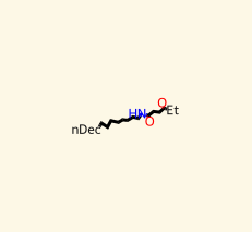 CCCCCCCCCCCCCCCCCCNC(=O)CCC(=O)CC